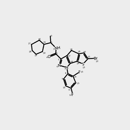 CC(NC(=O)c1nn(-c2ccc(F)cc2F)c2c1Cc1cc(Br)sc1-2)C1CCCCC1